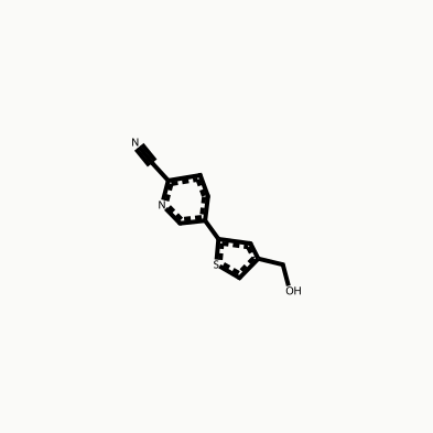 N#Cc1ccc(-c2cc(CO)cs2)cn1